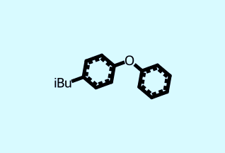 [CH2]C(CC)c1ccc(Oc2ccccc2)cc1